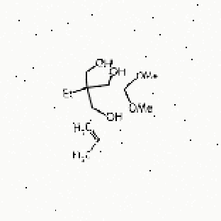 C=CC.CCC(CO)(CO)CO.COCOC